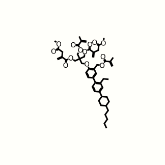 C=C(C)C(=O)OCc1cc(-c2ccc(C3CCC(CCCCC)CC3)cc2CC)ccc1OCC(COC(=O)C(=C)C)(COC(=O)C(=C)CC(=O)OC)COC(=O)C(=C)CC(=O)OC